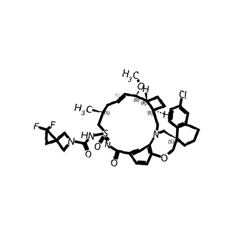 CO[C@H]1/C=C/C[C@H](C)CS(=O)(NC(=O)N2CC3(C2)CC3(F)F)=NC(=O)c2ccc3c(c2)N(C[C@@H]2CC[C@H]21)C[C@@]1(CCCc2cc(Cl)ccc21)CO3